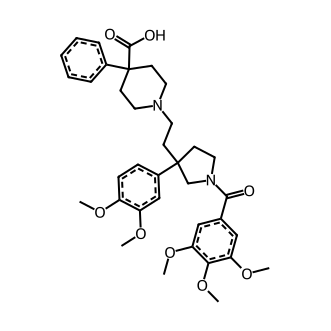 COc1ccc(C2(CCN3CCC(C(=O)O)(c4ccccc4)CC3)CCN(C(=O)c3cc(OC)c(OC)c(OC)c3)C2)cc1OC